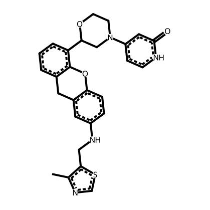 Cc1ncsc1CNc1ccc2c(c1)Cc1cccc(C3CN(c4cc[nH]c(=O)c4)CCO3)c1O2